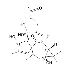 CC(=O)OCC1=C[C@@H]2C(=O)C3(C=C(C)[C@H](O)[C@@]3(O)[C@@H]1O)C(C)C[C@]1(O)[C@H]2C1(C)C